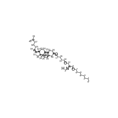 CCCCCCCCOC[C@H](N)COCCCCO[C@H]1CC[C@@]2(C)C(=CC[C@@]34CC35CC[C@H]([C@H](C)CCCC(C)C)[C@@]5(C)CC[C@@H]42)C1